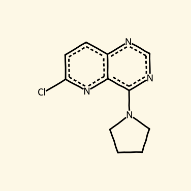 Clc1ccc2ncnc(N3CCCC3)c2n1